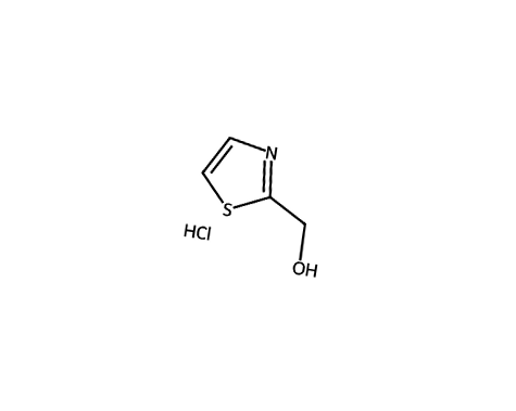 Cl.OCc1nccs1